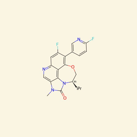 CC(C)[C@@H]1COc2c(-c3ccc(F)nc3)c(F)cc3ncc4c(c23)n1c(=O)n4C